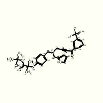 CC(C)(C)OC(=O)C(C)(C)Sc1ccc(CN(CC#CC(=O)c2cccc(C(F)(F)F)c2)Cc2ccco2)cc1